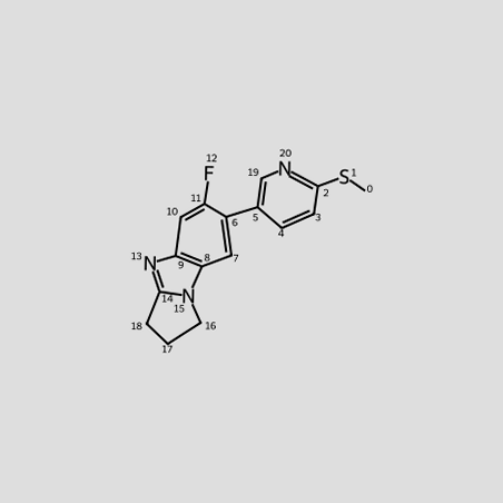 CSc1ccc(-c2cc3c(cc2F)nc2n3CCC2)cn1